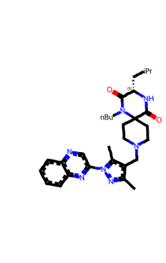 CCCCN1C(=O)[C@H](CC(C)C)NC(=O)C12CCN(Cc1c(C)nn(-c3cnc4ccccc4n3)c1C)CC2